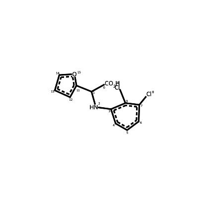 O=C(O)C(Nc1cccc(Cl)c1Cl)c1ccco1